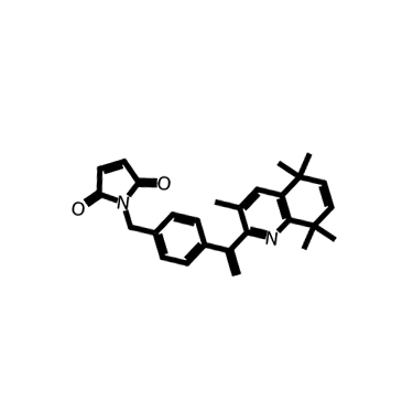 C=C(c1ccc(CN2C(=O)C=CC2=O)cc1)c1nc2c(cc1C)C(C)(C)C=CC2(C)C